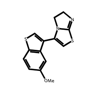 COc1ccc2scc(C3=CSC4=NCCN34)c2c1